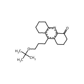 CC(C)(C)OCCCc1c2c(nc3c1CCCC3=O)CCCC2